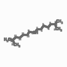 CC(C)CCCCCBCCCCCC(C)C